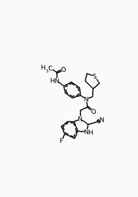 CC(=O)Nc1ccc(N(CC2CCSC2)C(=O)CN2c3ccc(F)cc3NC2C#N)cc1